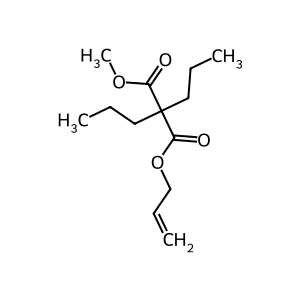 C=CCOC(=O)C(CCC)(CCC)C(=O)OC